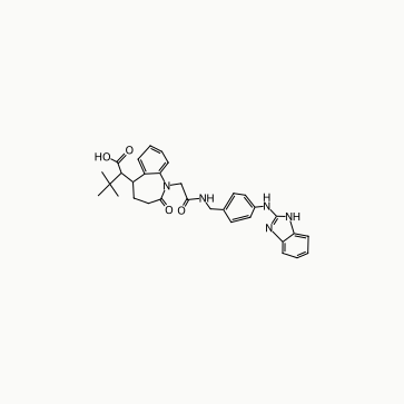 CC(C)(C)C(C(=O)O)C1CCC(=O)N(CC(=O)NCc2ccc(Nc3nc4ccccc4[nH]3)cc2)c2ccccc21